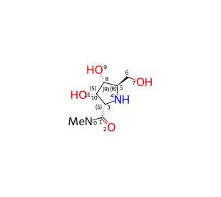 CNC(=O)[C@H]1N[C@H](CO)[C@@H](O)[C@H]1O